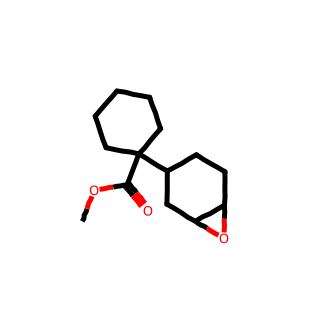 COC(=O)C1(C2CCC3OC3C2)CCCCC1